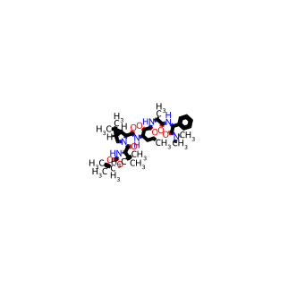 CCCC(NC(=O)C1[C@@H]2[C@H](CN1C(=O)[C@@H](NC(=O)OC(C)(C)C)C(C)(C)C)C2(C)C)C(=O)C(=O)N[C@@H](C)C(=O)NC(C(=O)N(C)C)c1ccccc1